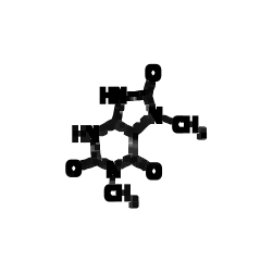 Cn1c(=O)[nH]c2[nH]c(=O)n(C)c2c1=O